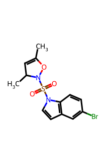 CC1=CC(C)N(S(=O)(=O)n2ccc3cc(Br)ccc32)O1